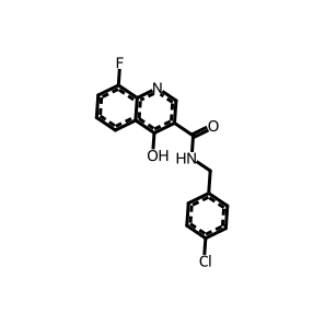 O=C(NCc1ccc(Cl)cc1)c1cnc2c(F)cccc2c1O